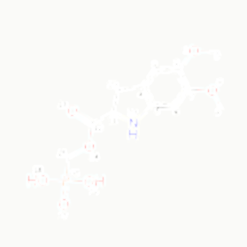 COc1cc2c(cc1OC)NC(C(=O)OCP(=O)(O)O)C2